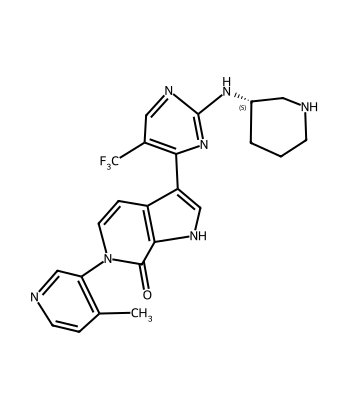 Cc1ccncc1-n1ccc2c(-c3nc(N[C@H]4CCCNC4)ncc3C(F)(F)F)c[nH]c2c1=O